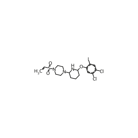 C=CS(=O)(=O)N1CCN(C2CCCC(Oc3cc(Cl)c(Cl)cc3I)N2)CC1